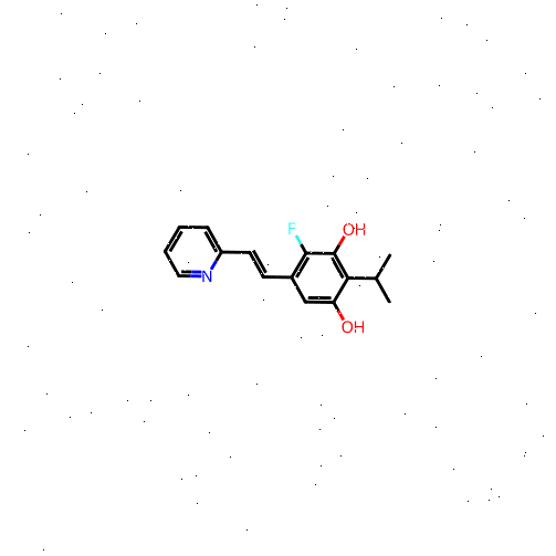 CC(C)c1c(O)cc(/C=C/c2ccccn2)c(F)c1O